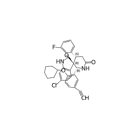 C#Cc1ccc(OC2CCCCC2)c([C@H]2NC(=O)C[C@@H](c3cccc(F)c3)[C@]23C(=O)Nc2cc(Cl)ccc23)c1